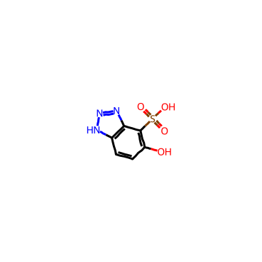 O=S(=O)(O)c1c(O)ccc2[nH]nnc12